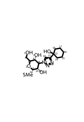 CS[C@@H]1OC(CO)[C@H](O)C(n2cc(C3(O)CCCCC3)nn2)[C@@H]1O